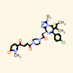 Cc1sc2c(c1C)C(c1ccc(Cl)cc1)=N[C@@H](CC(=O)N1CCN(C(=O)/C=C/C(=O)c3ccc(=O)n(C)c3)CC1)c1nnc(C)n1-2